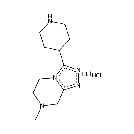 CN1CCn2c(nnc2C2CCNCC2)C1.Cl.Cl